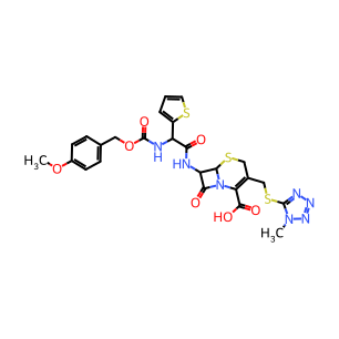 COc1ccc(COC(=O)NC(C(=O)NC2C(=O)N3C(C(=O)O)=C(CSc4nnnn4C)CSC23)c2cccs2)cc1